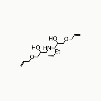 C=CCC.C=CCOCC(O)CNCC(O)COCC=C